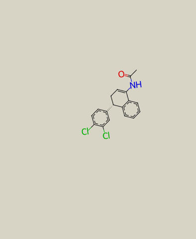 CC(=O)NC1=CC[C@@H](c2ccc(Cl)c(Cl)c2)c2ccccc21